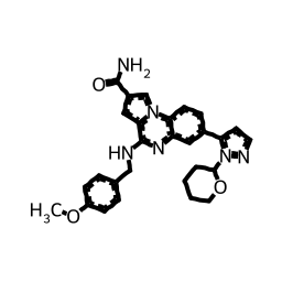 COc1ccc(CNc2nc3cc(-c4ccnn4C4CCCCO4)ccc3n3cc(C(N)=O)cc23)cc1